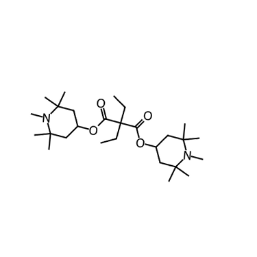 CCC(CC)(C(=O)OC1CC(C)(C)N(C)C(C)(C)C1)C(=O)OC1CC(C)(C)N(C)C(C)(C)C1